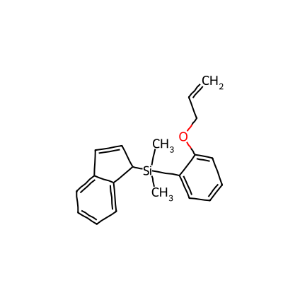 C=CCOc1ccccc1[Si](C)(C)C1C=Cc2ccccc21